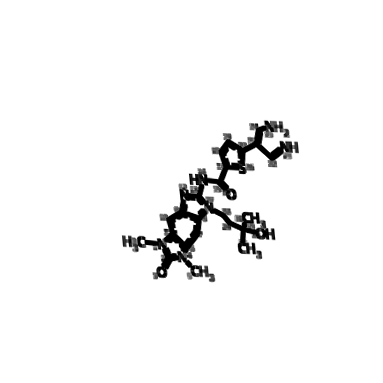 Cn1c(=O)n(C)c2cc3c(cc21)nc(NC(=O)c1ccc(/C(C=N)=C/N)s1)n3CCC(C)(C)O